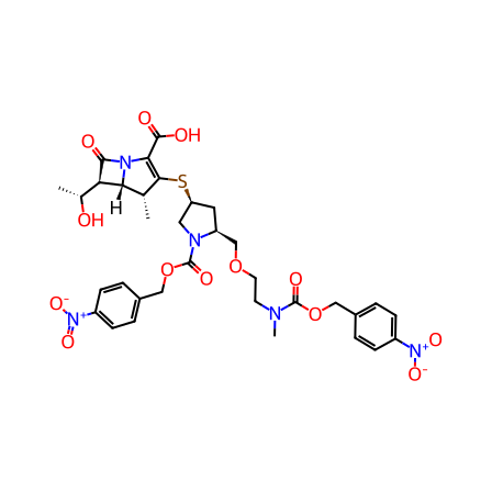 C[C@@H](O)[C@H]1C(=O)N2C(C(=O)O)=C(S[C@H]3C[C@@H](COCCN(C)C(=O)OCc4ccc([N+](=O)[O-])cc4)N(C(=O)OCc4ccc([N+](=O)[O-])cc4)C3)[C@H](C)[C@H]12